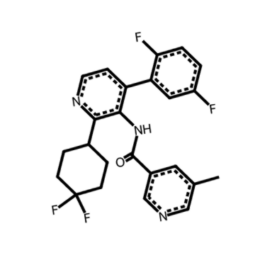 Cc1cncc(C(=O)Nc2c(-c3cc(F)ccc3F)ccnc2C2CCC(F)(F)CC2)c1